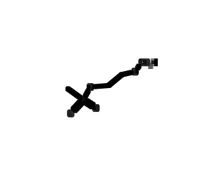 CS(=O)(=O)OCCOC(=O)O